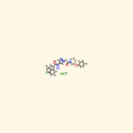 Cc1ccc(OC2CCCN(C(=O)Cn3cc(NC(=O)/C=C/C4(c5ccccc5F)CC4)cn3)C2)cc1.Cl